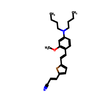 CCCCN(CCCC)c1ccc(C=Cc2ccc(C=CC#N)s2)c(OC)c1